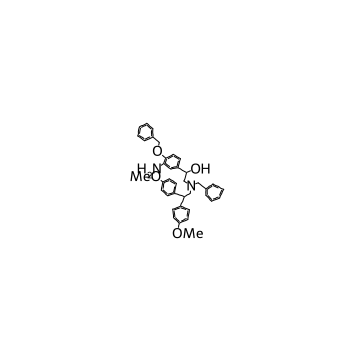 COc1ccc(C(CN(Cc2ccccc2)CC(O)c2ccc(OCc3ccccc3)c(N)c2)c2ccc(OC)cc2)cc1